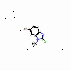 Cn1c(Cl)nc2ccc(Br)cc21